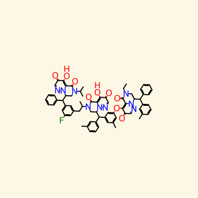 CCN1CC(C(c2ccccc2)c2cccc(C)c2)n2ncc(=O)c(Oc3cc(C)cc(C(c4cccc(C)c4)C4CN(C(C)Cc5cc(F)cc(C(c6ccccc6)C6CN(C(C)C)C(=O)c7c(O)c(=O)cnn76)c5)C(=O)c5c(O)c(=O)cnn54)c3)c2C1=O